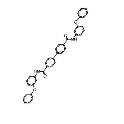 O=C(Nc1cccc(Oc2ccccc2)c1)c1ccc(-c2ccc(C(=O)Nc3cccc(Oc4ccccc4)c3)cc2)cc1